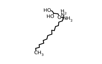 CCCCCCCCCCCCCCCC(N)(N)OCC(O)CO